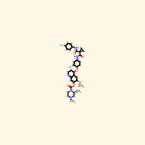 COc1cc2c(Oc3ccc(NC(=O)C4(C(=O)Nc5ccc(F)cc5)CC4)cc3F)ccnc2cc1OC(=O)N1CCN(C)C[C@@H]1C